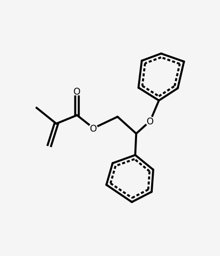 C=C(C)C(=O)OCC(Oc1ccccc1)c1ccccc1